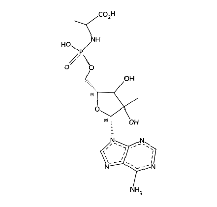 CC(NP(=O)(O)OC[C@H]1O[C@@H](n2cnc3c(N)ncnc32)C(C)(O)C1O)C(=O)O